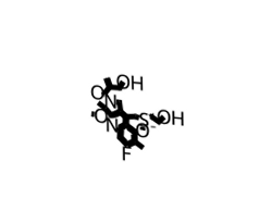 C=C(CO)C(=O)N1Cc2c(nc3cc(F)c(C)cc3c2C[S+]([O-])CCO)C1(C)OC